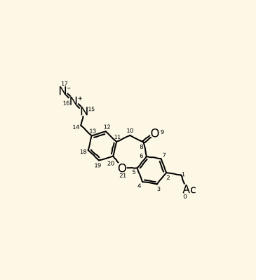 CC(=O)Cc1ccc2c(c1)C(=O)Cc1cc(CN=[N+]=[N-])ccc1O2